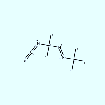 CC(C)(C)N=NC(C)(C)N=C=S